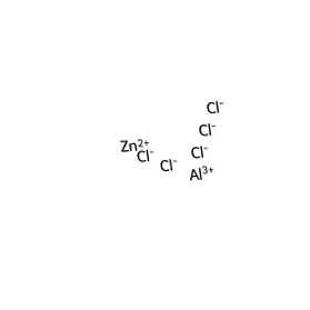 [Al+3].[Cl-].[Cl-].[Cl-].[Cl-].[Cl-].[Zn+2]